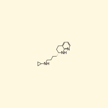 c1cnc2c(c1)CC[C@@H](CCCCNC1CC1)N2